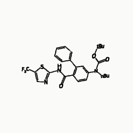 CCCCN(C(=O)OC(C)(C)C)c1ccc(C(=O)Nc2ncc(C(F)(F)F)s2)c(-c2ccccc2)c1